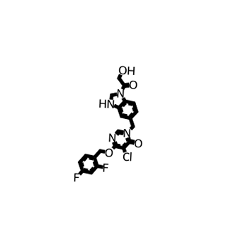 O=C(CO)N1CNc2cc(Cn3cnc(OCc4ccc(F)cc4F)c(Cl)c3=O)ccc21